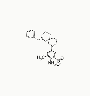 Cc1cc(N2CCCC3(CCCN(Cc4ccccc4)C3)C2)cc([N+](=O)[O-])c1N